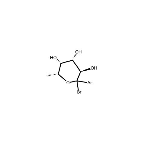 CC(=O)C1(Br)O[C@H](C)[C@H](O)[C@H](O)[C@H]1O